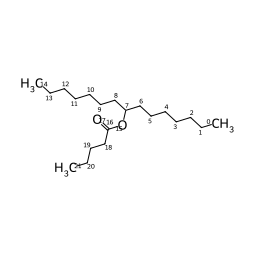 CCCCCCCC(CCCCCCC)OC(=O)CCCC